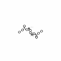 Cn1c2cc(N(c3ccccc3)c3ccc(-c4ccccc4)cc3)ccc2c2c3ccc4c(c3ccc21)c1ccc(N(c2ccccc2)c2ccc(-c3ccccc3)cc2)cc1n4C